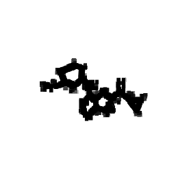 CC(C)c1cccc(Nc2ncnc3cnc(NC4CC4)nc23)c1